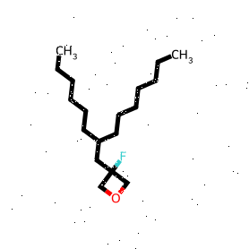 CCCCCCCC(CCCCCC)CC1(F)COC1